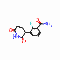 NC(=O)c1cccc(C2CCC(=O)NC2=O)c1F